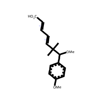 COc1ccc(C(OC)C(C)(C)/C=C/C=C/C(=O)O)cc1